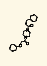 O=C(/C=C\c1ccccc1)N1CCN(C(=O)COc2ccccc2)CC1